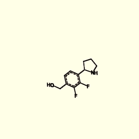 OCc1ccc(C2CCCN2)c(F)c1F